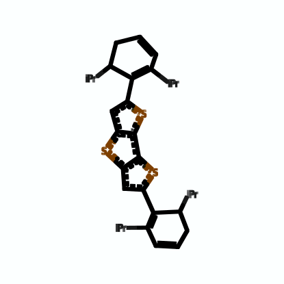 CC(C)C1=C(c2cc3sc4cc(C5=C(C(C)C)C=CCC5C(C)C)sc4c3s2)C(C(C)C)CC=C1